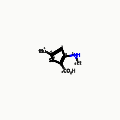 CCNc1cc(C(C)(C)C)[se]c1C(=O)O